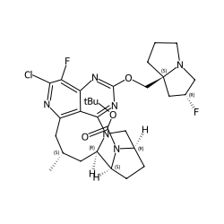 C[C@@H]1Cc2nc(Cl)c(F)c3nc(OC[C@@]45CCCN4C[C@H](F)C5)nc(c23)N2C[C@H]3CC[C@@H]([C@H]2C1)N3C(=O)OC(C)(C)C